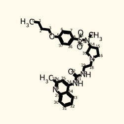 CCCCOc1ccc(S(=O)(=O)N(C)C2CCN(CCNC(=O)Nc3cc(C)nc4ccccc34)C2)cc1